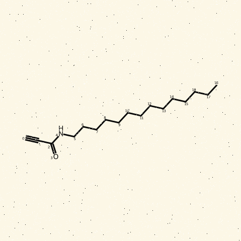 C#CC(=O)NCCCCCCCCCCCCCC